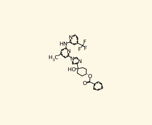 Cc1cc(Nc2cc(C(F)(F)F)ccn2)nc(-n2cnc([C@]3(O)CC[C@H](OC(=O)c4ccccc4)CC3)c2)c1